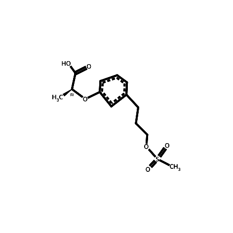 C[C@H](Oc1cccc(CCCOS(C)(=O)=O)c1)C(=O)O